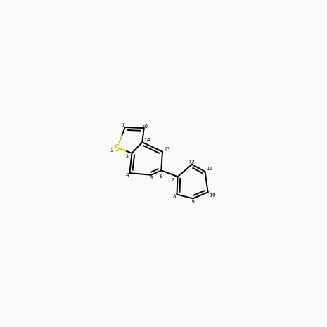 [c]1csc2ccc(-c3ccccc3)cc12